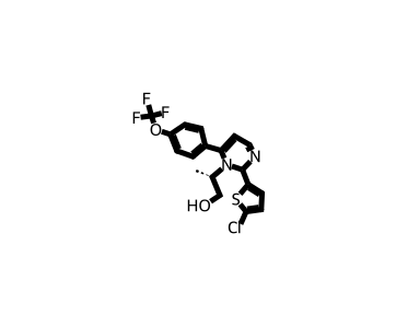 C[C@@H](CO)N1C(c2ccc(OC(F)(F)F)cc2)=CC=NC1c1ccc(Cl)s1